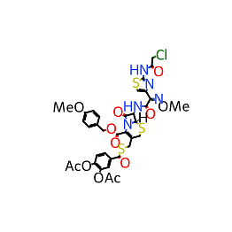 CO/N=C(\C(=O)N[C@@H]1C(=O)N2C(C(=O)OCc3ccc(OC)cc3)=C(CSC(=O)c3ccc(OC(C)=O)c(OC(C)=O)c3)CS[C@H]12)c1csc(NC(=O)CCl)n1